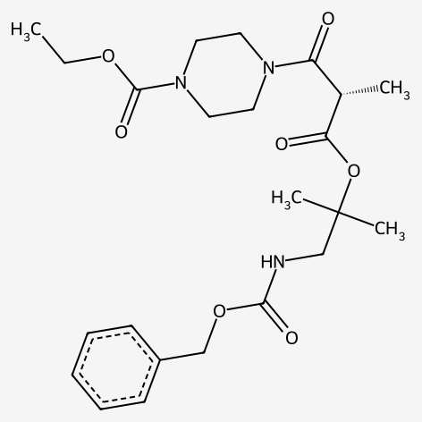 CCOC(=O)N1CCN(C(=O)[C@H](C)C(=O)OC(C)(C)CNC(=O)OCc2ccccc2)CC1